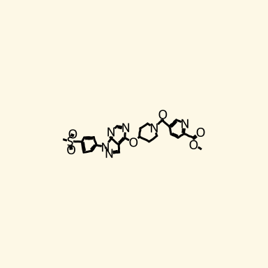 COC(=O)c1ccc(C(=O)N2CCC(Oc3ncnc4c3cnn4-c3ccc(S(C)(=O)=O)cc3)CC2)cn1